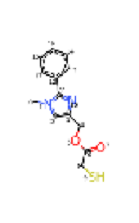 Cn1cc(COC(=O)CS)nc1-c1ccccc1